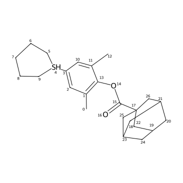 Cc1cc([SH]2CCCCC2)cc(C)c1OC(=O)C12CC3CC(CC(C3)C1)C2